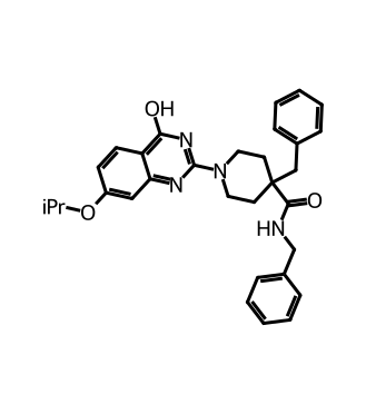 CC(C)Oc1ccc2c(O)nc(N3CCC(Cc4ccccc4)(C(=O)NCc4ccccc4)CC3)nc2c1